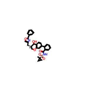 CC1(S(=O)(=O)NC(=O)c2ccccc2-c2ccc3c(c2)OC[C@@H](Cc2coc(-c4ccccc4)n2)C3O)CC1